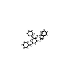 O=C(CC(Sc1nc2ccccc2s1)C(=O)OC1CCCCC1)OC1CCCCC1